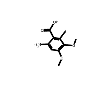 COc1cc(N)c(C(=O)O)c(I)c1OC